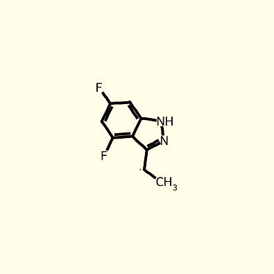 C[CH]c1n[nH]c2cc(F)cc(F)c12